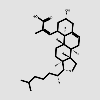 CC(=CC1C[C@H](O)CC2=CC[C@H]3[C@@H]4CC[C@H]([C@H](C)CCCC(C)C)[C@@]4(C)CC[C@@H]3[C@]21C)C(=O)O